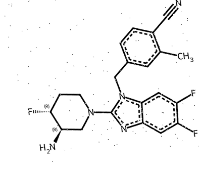 Cc1cc(Cn2c(N3CC[C@@H](F)[C@H](N)C3)nc3cc(F)c(F)cc32)ccc1C#N